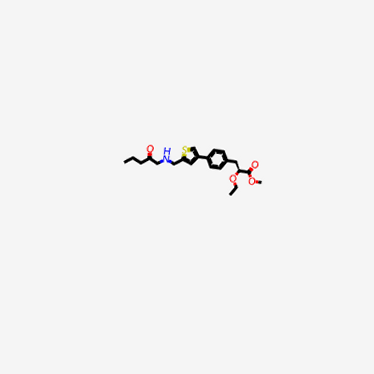 CCCC(=O)CNCc1cc(-c2ccc(C[C@H](OCC)C(=O)OC)cc2)cs1